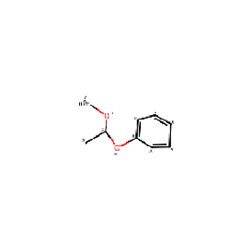 CC[CH]OC(C)Oc1ccccc1